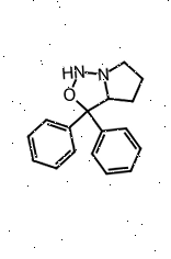 c1ccc(C2(c3ccccc3)ONN3CCCC32)cc1